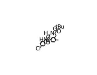 Cc1ccc(S(=O)(=O)Nc2ccc(Cl)cc2)cc1C[C@H](N)C(=O)OC(C)(C)C